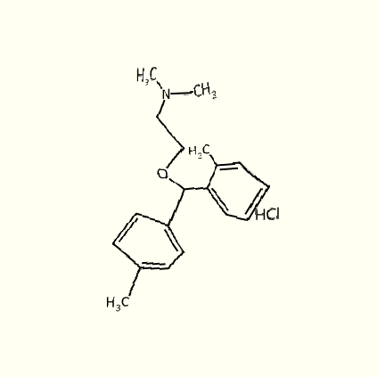 Cc1ccc(C(OCCN(C)C)c2ccccc2C)cc1.Cl